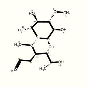 CO[C@@H]1[C@@H](O)[C@H](O[C@H]([C@@H](C)O)[C@@H](CC=O)OC)O[C@H](C)[C@H]1O